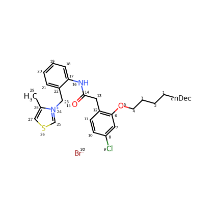 CCCCCCCCCCCCCCOc1cc(Cl)ccc1CC(=O)Nc1ccccc1C[n+]1cscc1C.[Br-]